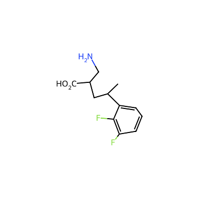 CC(CC(CN)C(=O)O)c1cccc(F)c1F